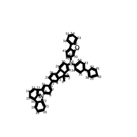 CC1(C)c2cc(-c3ccc4c(c3)c3cccc5c6ccccc6n4c53)ccc2C2C=CC(N(c3ccc(-c4ccccc4)cc3)c3ccc4c(c3)oc3ccccc34)=CC21